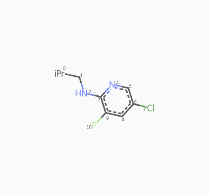 CC(C)CNc1ncc(Cl)cc1F